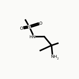 CC(C)(N)CNS(C)(=O)=O